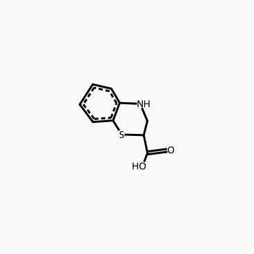 O=C(O)C1CNc2ccccc2S1